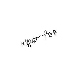 NC(=O)C(O)CN1CCN(CCCCCNC(=O)c2cc(-c3cccs3)on2)CC1